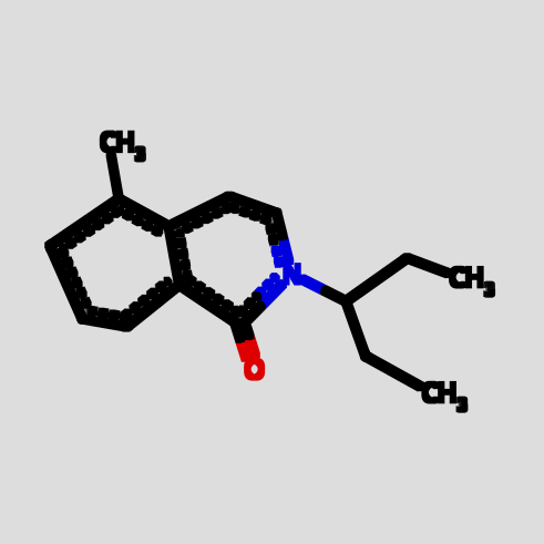 CCC(CC)n1ccc2c(C)cccc2c1=O